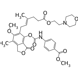 COC(=O)c1ccc(NC(=O)Oc2c(C/C=C(\C)CCC(=O)OCCN3CCOCC3)c(OC)c(C)c3c2C(=O)OC3)cc1